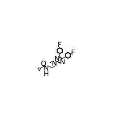 O=C(NC1CCN(c2cnc(-c3ccc(F)cc3)c(-c3ccc(F)cc3)n2)CC1)C1CC1